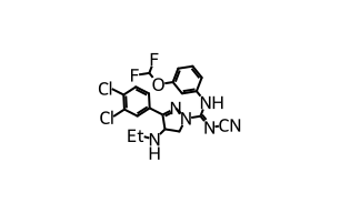 CCNC1CN(/C(=N/C#N)Nc2cccc(OC(F)F)c2)N=C1c1ccc(Cl)c(Cl)c1